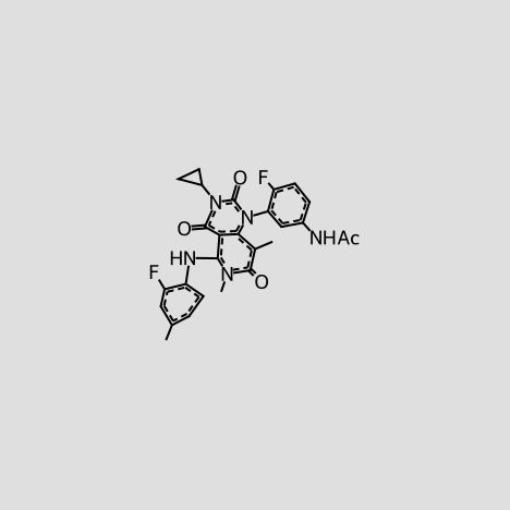 CC(=O)Nc1ccc(F)c(-n2c(=O)n(C3CC3)c(=O)c3c(Nc4ccc(C)cc4F)n(C)c(=O)c(C)c32)c1